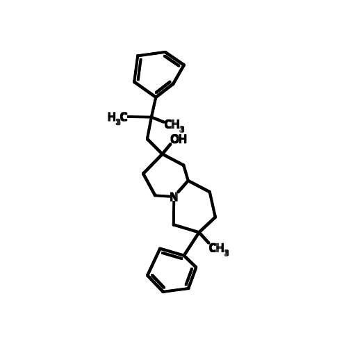 CC(C)(CC1(O)CCN2CC(C)(c3ccccc3)CCC2C1)c1ccccc1